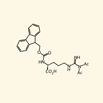 CC(=O)N(C(=N)NCCC[C@H](NC(=O)OCC1c2ccccc2-c2ccccc21)C(=O)O)C(C)=O